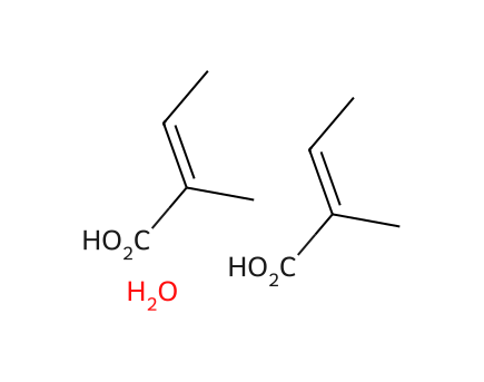 CC=C(C)C(=O)O.CC=C(C)C(=O)O.O